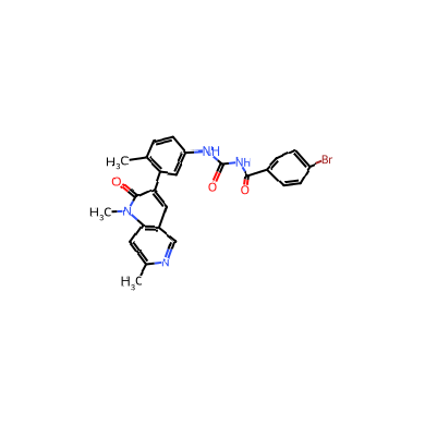 Cc1cc2c(cn1)cc(-c1cc(NC(=O)NC(=O)c3ccc(Br)cc3)ccc1C)c(=O)n2C